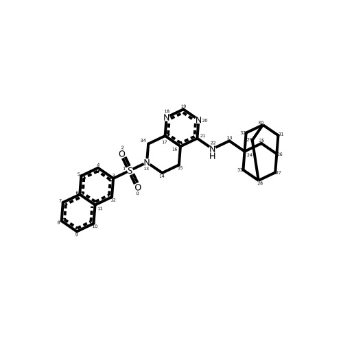 O=S(=O)(c1ccc2ccccc2c1)N1CCc2c(ncnc2NCC23CC4CC(CC(C4)C2)C3)C1